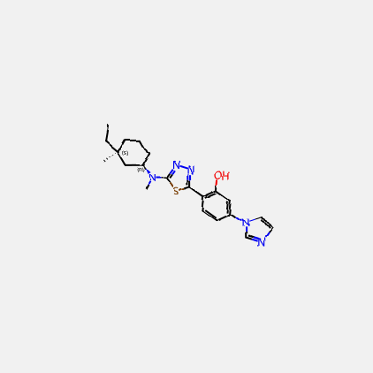 CC[C@@]1(C)CCC[C@@H](N(C)c2nnc(-c3ccc(-n4ccnc4)cc3O)s2)C1